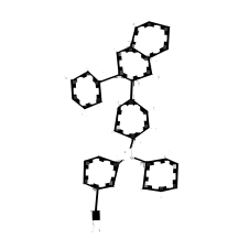 N#Cc1cccc(N(c2ccccc2)c2ccc(-c3cc4ccccc4cc3-c3ccccc3)cc2)c1